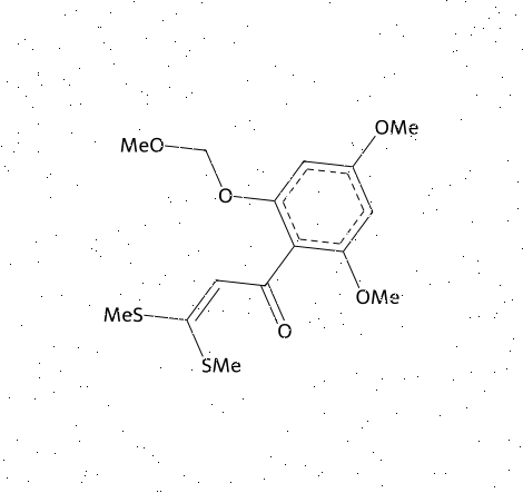 COCOc1cc(OC)cc(OC)c1C(=O)C=C(SC)SC